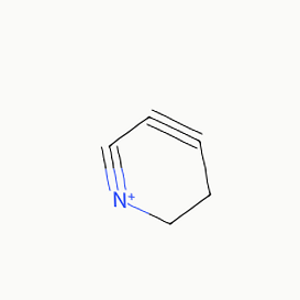 C1#CCC[N+]#C1